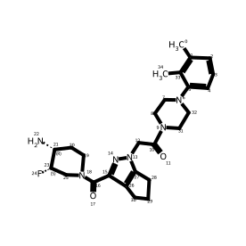 Cc1cccc(N2CCN(C(=O)Cn3nc(C(=O)N4CC[C@@H](N)[C@@H](F)C4)c4c3CCC4)CC2)c1C